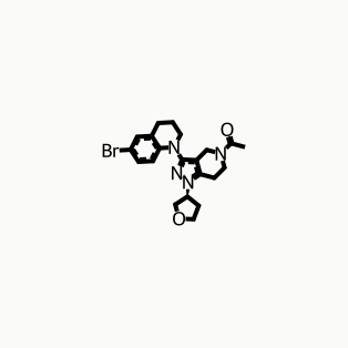 CC(=O)N1CCc2c(c(N3CCCc4cc(Br)ccc43)nn2[C@H]2CCOC2)C1